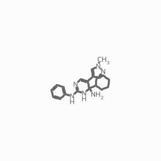 Cn1cc(C2=CN=C(Nc3ccccc3)NC2(N)C2CCCCC2)cn1